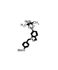 COc1ccc(Cn2ncc3ccc(B4OC(C)(C)C(C)(C)O4)cc32)cc1